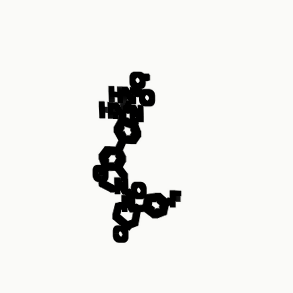 COC(=O)Nc1nc2ccc(-c3ccc4c(c3)CN(C(=O)N3CCC(=O)CC3c3ccc(F)cc3)CCO4)cc2[nH]1